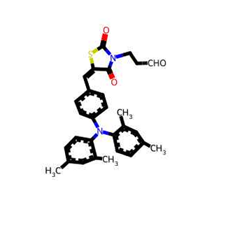 Cc1ccc(N(c2ccc(/C=C3/SC(=O)N(CCC=O)C3=O)cc2)c2ccc(C)cc2C)c(C)c1